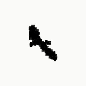 CC(=O)c1cn(CC(=O)N2C[C@H](F)C[C@H]2C(=O)Nc2cccc(-c3ccccc3Cl)c2F)c2ccc(N3CCN(c4ncc(F)cn4)CC3)cc12